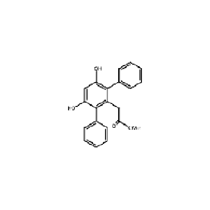 COC(=O)Cc1c(-c2ccccc2)c(O)cc(O)c1-c1ccccc1